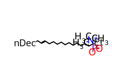 CCCCCCCCCCCC=CCCCCCCCCCCCC(CC)(P(=O)=O)[N+](C)(C)C